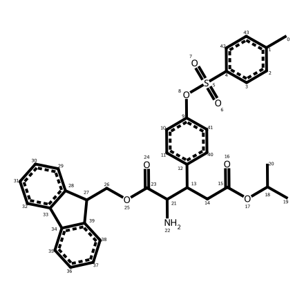 Cc1ccc(S(=O)(=O)Oc2ccc(C(CC(=O)OC(C)C)C(N)C(=O)OCC3c4ccccc4-c4ccccc43)cc2)cc1